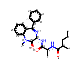 CCCC(C)C(=O)N[C@@H](C)C(=O)N[C@H]1N=C(c2ccccc2)c2ccccc2N(C)C1=O